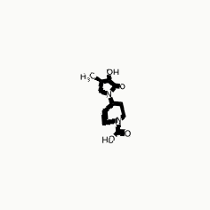 CC1CN(C2CCN(C(=O)O)CC2)C(=O)C1O